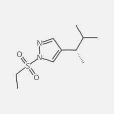 CCS(=O)(=O)n1cc([C@@H](C)C(C)C)cn1